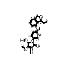 CCC1OCc2cccc(Oc3ccc(N4C(=O)N[C@H](CC)C4O)cn3)c21